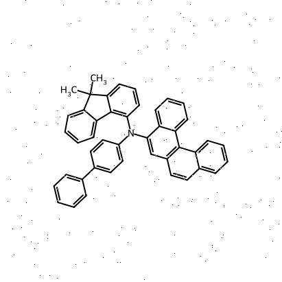 CC1(C)c2ccccc2-c2c(N(c3ccc(-c4ccccc4)cc3)c3cc4ccc5ccccc5c4c4ccccc34)cccc21